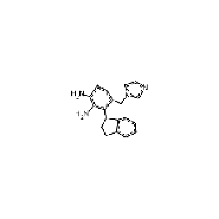 Nc1ccc(Cn2ccnc2)c(C2CCc3ccccc32)c1N